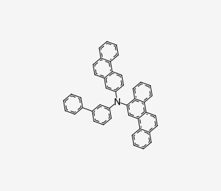 c1ccc(-c2cccc(N(c3ccc4c(ccc5ccccc54)c3)c3cc4c5ccccc5ccc4c4ccccc34)c2)cc1